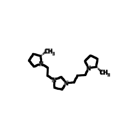 C[C@H]1CCCN1CCCN1CCN(CCN2CCC[C@@H]2C)C1